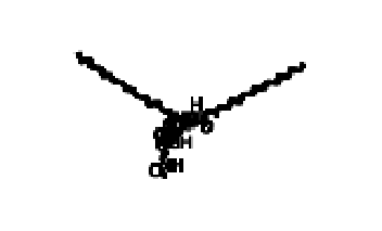 CCCCCCCCCCCCCCCCCC(=O)NC[C@H](COP(=O)(O)OCCNC(C)=O)NC(=O)CCCCCCCCCCCCCCCCC